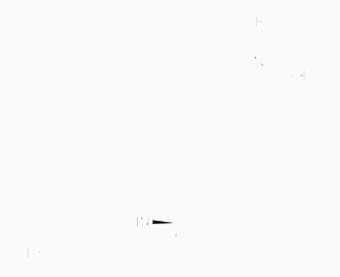 C#CCN[C@@H]1CCc2ccc(/C=[N+](\O)C(C)(C)C)cc21